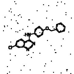 Clc1ccc2c(Nc3ccc(OCc4ccccc4)cc3)ncnc2c1